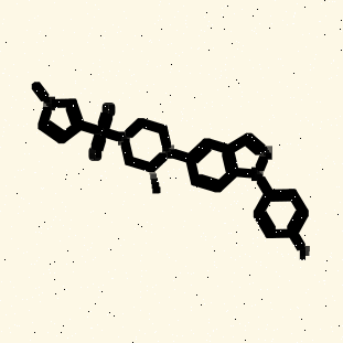 C[C@@H]1CN(S(=O)(=O)c2ccn(C)c2)CCN1c1ccc2c(cnn2-c2ccc(F)cc2)c1